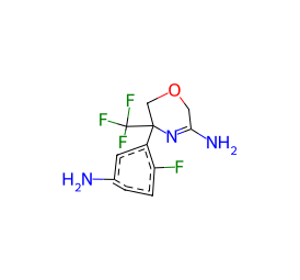 NC1=NC(c2cc(N)ccc2F)(C(F)(F)F)COC1